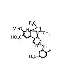 COc1ncc(-c2cnc(Nc3cc(C)ccc3F)nc2N2NC(C(F)(F)F)C=C2C)cc1C(=O)O